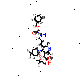 Cc1nc(C)c([C@H](OC(C)(C)C)C(=O)O)c(N2CCC(C)(C)CC2)c1/C=C/CNC(=O)OCc1ccccc1